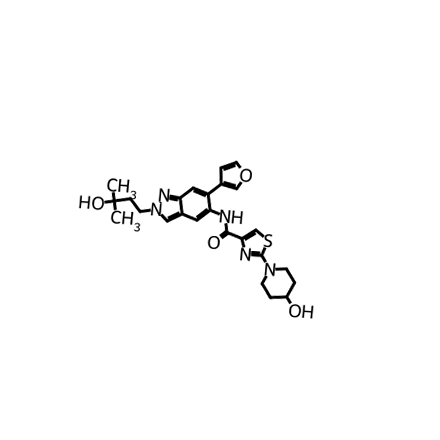 CC(C)(O)CCn1cc2cc(NC(=O)c3csc(N4CCC(O)CC4)n3)c(-c3ccoc3)cc2n1